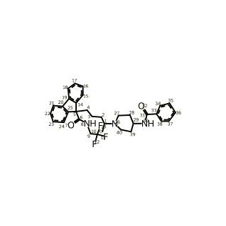 CC(CCCC1(C(=O)NCC(F)(F)F)c2ccccc2-c2ccccc21)N1CCC(NC(=O)c2ccccc2)CC1